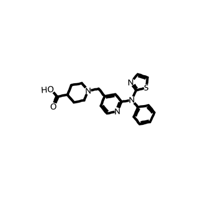 O=C(O)C1CCN(Cc2ccnc(N(c3ccccc3)c3nccs3)c2)CC1